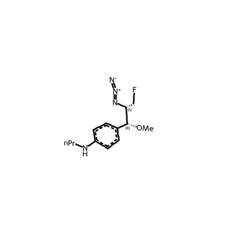 CCCNc1ccc([C@@H](OC)[C@@H](CF)N=[N+]=[N-])cc1